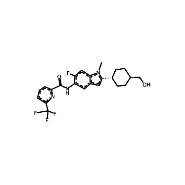 Cn1c2cc(F)c(NC(=O)c3cccc(C(F)(F)F)n3)cc2cc1[C@H]1CC[C@H](CO)CC1